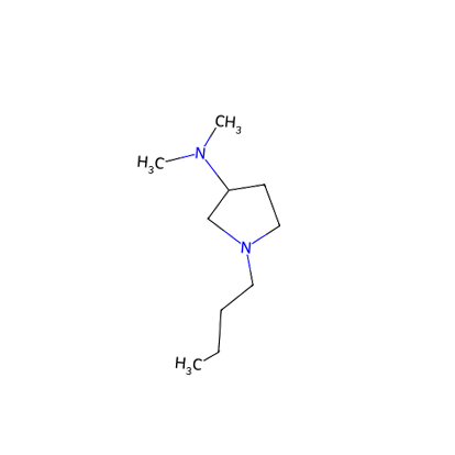 CCCCN1CCC(N(C)C)C1